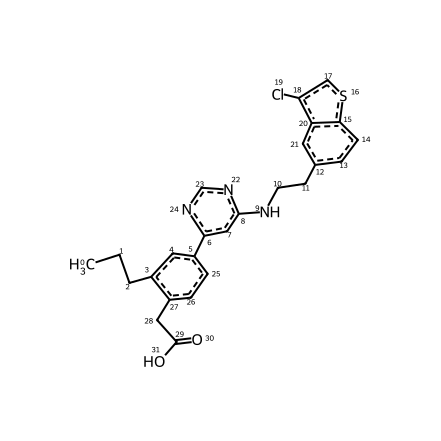 CCCc1cc(-c2cc(NCCc3ccc4scc(Cl)c4c3)ncn2)ccc1CC(=O)O